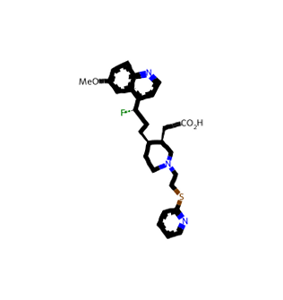 COc1ccc2nccc([C@@H](F)CC[C@@H]3CCN(CCSc4ccccn4)C[C@@H]3CC(=O)O)c2c1